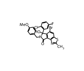 COc1ccc(CN2C(=O)c3c(c(Br)cc4sc(C)nc34)C2(O)c2cc(F)ccc2Cl)cc1